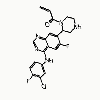 C=CC(=O)N1CCNCC1c1cc2ncnc(Nc3ccc(F)c(Cl)c3)c2cc1F